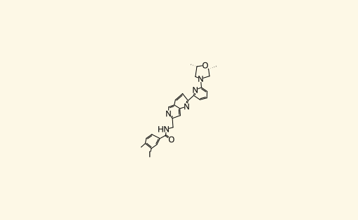 Cc1ccc(C(=O)NCc2cc3nc(-c4cccc(N5C[C@@H](C)O[C@@H](C)C5)n4)ccc3cn2)cc1I